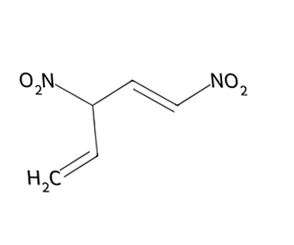 C=CC(C=C[N+](=O)[O-])[N+](=O)[O-]